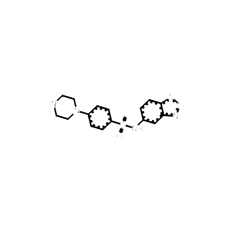 O=S(=O)(Nc1ccc2nsnc2c1)c1ccc(N2CCNCC2)cc1